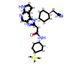 CS(C)(C)[C@H]1CC[C@H](NC(=O)Cc2nc3cnc4[nH]ccc4c3n2[C@H]2CC[C@H](CC#N)CC2)CC1